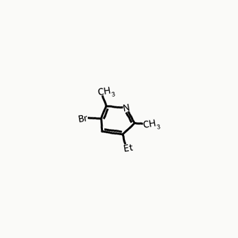 CCc1cc(Br)c(C)nc1C